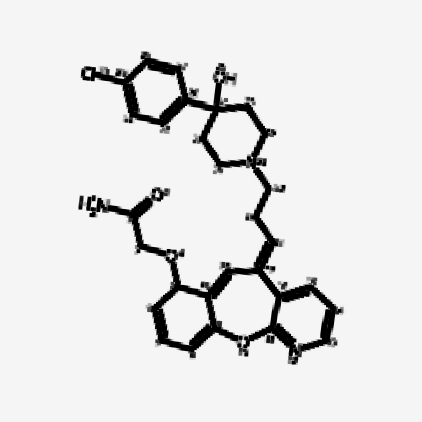 NC(=O)COC1C=CC=C2Oc3ncccc3C(=CCCN3CCC(O)(c4ccc(Cl)cc4)CC3)C=C21